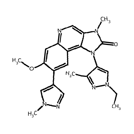 CCn1cc(-n2c(=O)n(C)c3cnc4cc(OC)c(-c5cnn(C)c5)cc4c32)c(C)n1